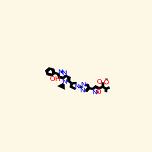 COC(=O)C(c1cc(-c2cnc(N3CCC(c4cc5nnc(-c6ccccc6O)cc5n4C4CC4)C3)nc2)no1)C(C)C